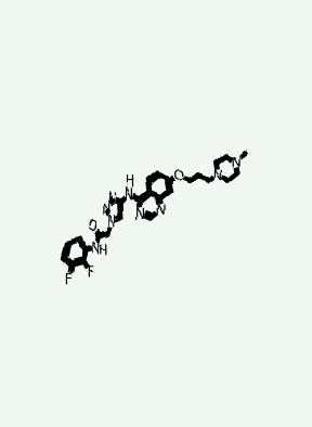 CN1CCN(CCCOc2ccc3c(Nc4cn(CC(=O)Nc5cccc(F)c5F)nn4)ncnc3c2)CC1